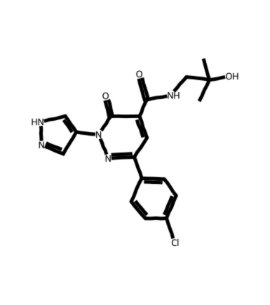 CC(C)(O)CNC(=O)c1cc(-c2ccc(Cl)cc2)nn(-c2cn[nH]c2)c1=O